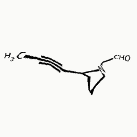 CC#CC1CN1C=O